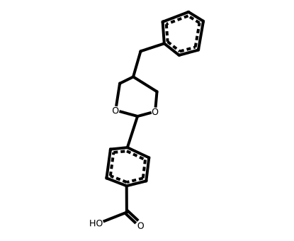 O=C(O)c1ccc(C2OCC(Cc3ccccc3)CO2)cc1